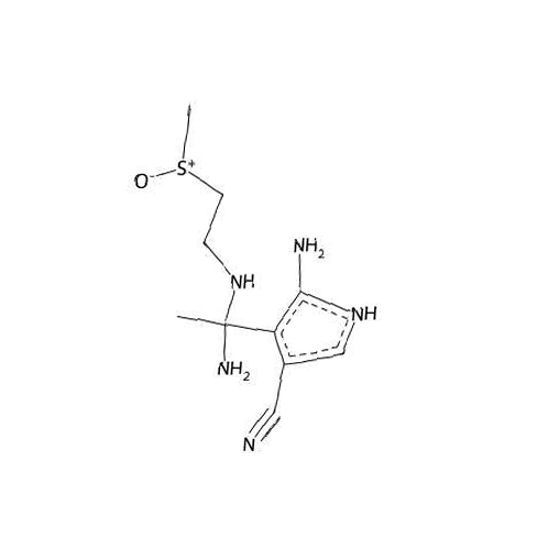 C[S+]([O-])CCNC(C)(N)c1c(C#N)c[nH]c1N